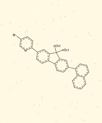 CCCCCCCCC1(CCCCCCCC)c2cc(-c3ccc(Br)cn3)ccc2-c2ccc(-c3cccc4ccccc34)cc21